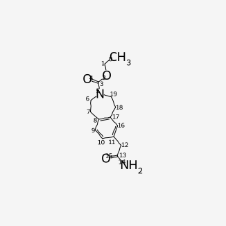 CCOC(=O)N1CCc2ccc(CC(N)=O)cc2CC1